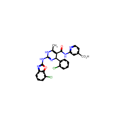 CC1=C(C(=O)Nc2cc(C(=O)O)ccn2)C(c2ccccc2Cl)N=C(Nc2nc3cccc(Cl)c3o2)N1